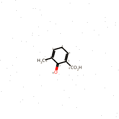 CC1=C[C]C=C(C(=O)O)C1=O